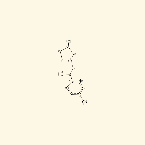 N#Cc1ccc(C(O)CN2CC[C@@H](Cl)C2)nc1